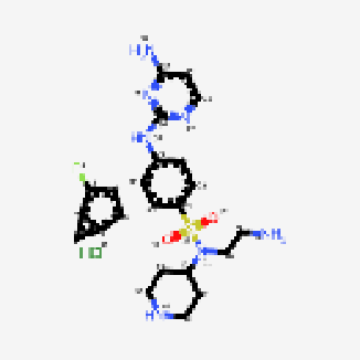 Cl.Fc1ccc2cc1-2.NCCN(C1CCNCC1)S(=O)(=O)c1ccc(Nc2nccc(N)n2)cc1